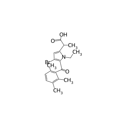 CCn1c(C(C)C(=O)O)cc(Br)c1C(=O)c1c(C)ccc(C)c1C